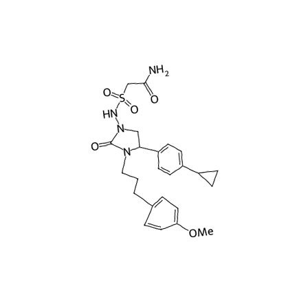 COc1ccc(CCCN2C(=O)N(NS(=O)(=O)CC(N)=O)CC2c2ccc(C3CC3)cc2)cc1